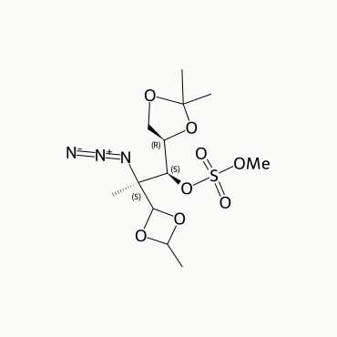 COS(=O)(=O)O[C@H]([C@H]1COC(C)(C)O1)[C@](C)(N=[N+]=[N-])C1OC(C)O1